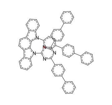 c1ccc(-c2ccc(-c3ccc(-n4c5ccccc5c5ccc6c7ccccc7n(-c7nc(-c8ccc(-c9ccccc9)cc8)nc(-c8ccc(-c9ccccc9)cc8)n7)c6c54)cc3)cc2)cc1